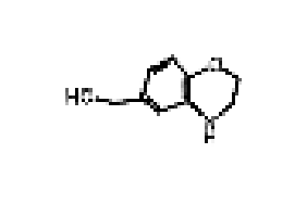 OCc1ccc2c(c1)NCCO2